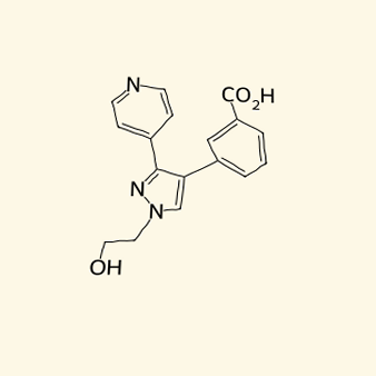 O=C(O)c1cccc(-c2cn(CCO)nc2-c2ccncc2)c1